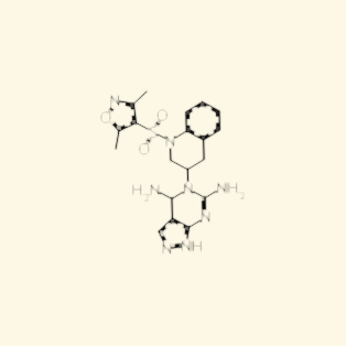 Cc1noc(C)c1S(=O)(=O)N1CC(N2C(N)=Nc3[nH]ncc3C2N)Cc2ccccc21